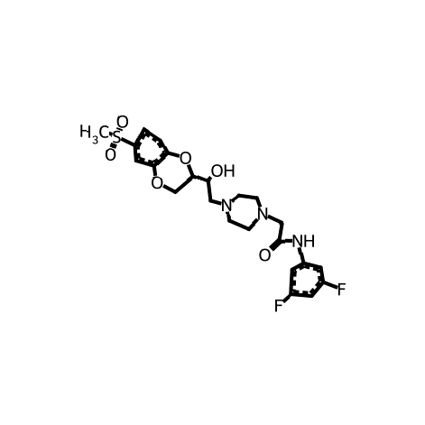 CS(=O)(=O)c1ccc2c(c1)OCC(C(O)CN1CCN(CC(=O)Nc3cc(F)cc(F)c3)CC1)O2